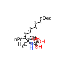 CCCCCCCCCCCCCCCCC(CCC)C(C)(C)N[Si](O)(O)O